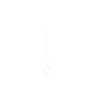 CCCCCCCCCCCC[N+]1([O-])CCCC1